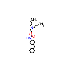 CCCCN(CCCC)CCOC(=O)NC1CCC(CC2CCCCC2)CC1